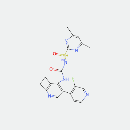 Cc1cc(C)nc(/[SH](=O)=N/C(=O)Nc2c(-c3ccncc3F)cnc3c2CC3)n1